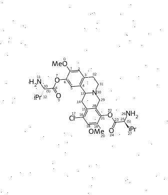 COc1cc2c(cc1OC(=O)[C@@H](N)C(C)C)C1Cc3c(Cl)cc(OC)c(OC(=O)[C@@H](N)C(C)C)c3CN1CC2